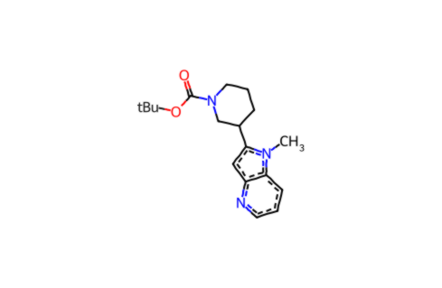 Cn1c(C2CCCN(C(=O)OC(C)(C)C)C2)cc2ncccc21